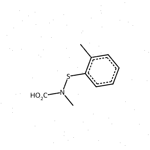 Cc1ccccc1SN(C)C(=O)O